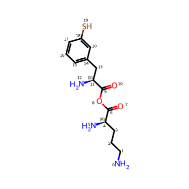 NCCC[C@@H](N)C(=O)OC(=O)[C@@H](N)Cc1cccc(S)c1